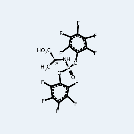 C[C@H](NP(=O)(Oc1c(F)c(F)c(F)c(F)c1F)Oc1c(F)c(F)c(F)c(F)c1F)C(=O)O